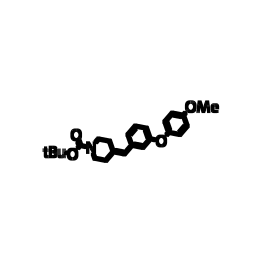 COc1ccc(Oc2cccc(C=C3CCN(C(=O)OC(C)(C)C)CC3)c2)cc1